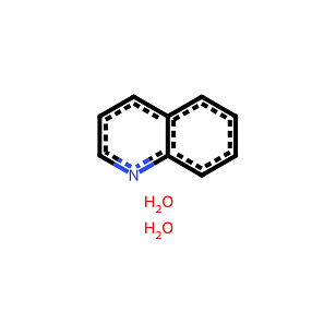 O.O.c1ccc2ncccc2c1